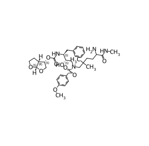 CNC(=O)C(N)CCC(C)(C)CN(C[C@H](O)[C@H](Cc1ccccc1)NC(=O)O[C@@H]1CO[C@@H]2OCC[C@@H]21)S(=O)(=O)c1ccc(OC)cc1